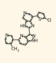 Cc1ccncc1-c1ccc2[nH]nc(-c3nc4c(-c5ccc(Cl)s5)cncc4[nH]3)c2n1